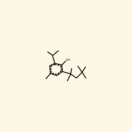 Cc1cc(C(C)C)c(O)c(C(C)(C)CC(C)(C)C)c1